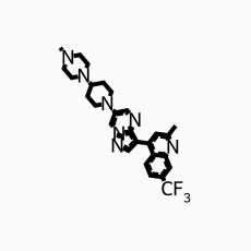 Cc1cc(-c2cnn3cc(N4CCC(N5CCN(C)CC5)CC4)cnc23)c2ccc(C(F)(F)F)cc2n1